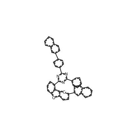 c1ccc(-c2nc(-c3ccc(-c4ccc5ccccc5c4)cc3)nc(-c3cccc4oc5ccc(-c6ccc7ccccc7c6)cc5c34)n2)cc1